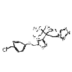 CC(C)(C)C(O)(Cn1cnnn1)C1=NOC(COc2ccc(Cl)cc2)C1